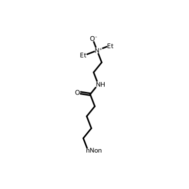 CCCCCCCCCCCCCC(=O)NCC[N+]([O-])(CC)CC